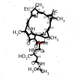 CC[C@H]1c2cc3[nH]c4c(c3C)C(=O)C(C(=O)OC)c4c3nc(cc4[nH]c(cc(n2)[C@@H]1C)c(C(C)=O)c4C)[C@@H](C)[C@@H]3CCC(=O)N[C@@H](CC(=O)NN(C)C)C(=O)O